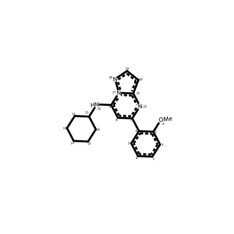 COc1ccccc1-c1cc(NC2CCCCC2)n2nccc2n1